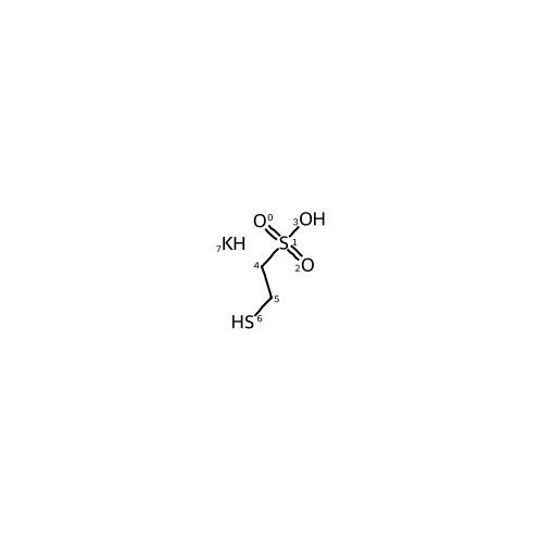 O=S(=O)(O)CCS.[KH]